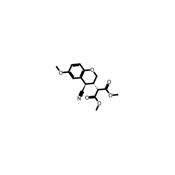 COC(=O)C(C(=O)OC)[C@H]1COc2ccc(OC)cc2[C@@H]1C#N